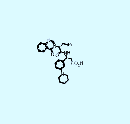 CC(C)C[C@@H](C(=O)N[C@@H](CC(=O)O)c1cccc(N2CCCCC2)c1)n1cnc2ccccc2c1=O